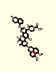 COc1ccc(CN(Cc2ccc(OC)cc2)c2cc(C)c(C(F)(F)F)c(-c3c(Cl)cc4c(N5CCN(C(=O)O)C[C@@H]5C)nc(Oc5cccc6c5CCN(C)C6)nc4c3F)n2)cc1